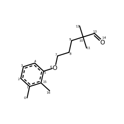 Cc1cccc(OCCCC(C)(C)C=O)c1C